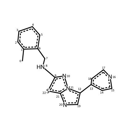 Cc1ccccc1CNc1nn2c(-c3ccncc3)cnc2s1